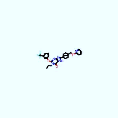 CCCn1c(Oc2cccc(C(F)(F)F)c2)nc2nc(C34CCC(COc5ccccn5)(CC3)CC4)[nH]c2c1=O